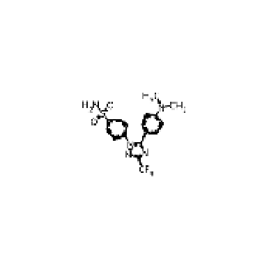 CN(C)c1ccc(-c2nc(C(F)(F)F)nn2-c2ccc(S(N)(=O)=O)cc2)cc1